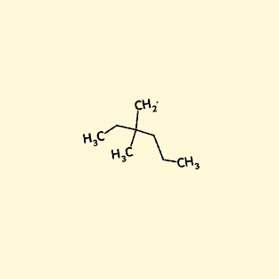 [CH2]C(C)(CC)CCC